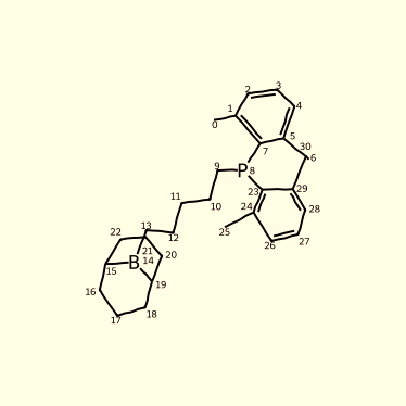 Cc1cccc(C)c1P(CCCCCB1C2CCCC1CCC2)c1c(C)cccc1C